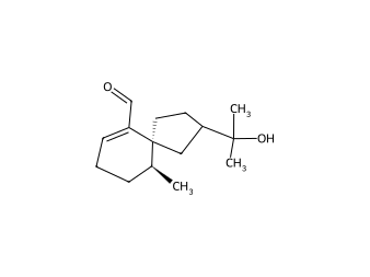 C[C@H]1CCC=C(C=O)[C@]12CCC(C(C)(C)O)C2